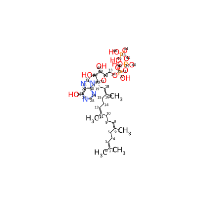 CC(C)=CCCC(C)=CCCC(C)=CCCC(C)=CC[C@@]1(n2cnc3c(O)ncnc32)O[C@H](COP(=O)(O)OP(=O)(O)OP(=O)(O)O)[C@@H](O)[C@H]1O